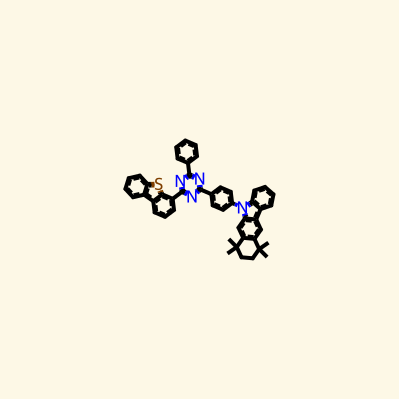 CC1(C)CCC(C)(C)c2cc3c(cc21)c1ccccc1n3-c1ccc(-c2nc(-c3ccccc3)nc(-c3cccc4c3sc3ccccc34)n2)cc1